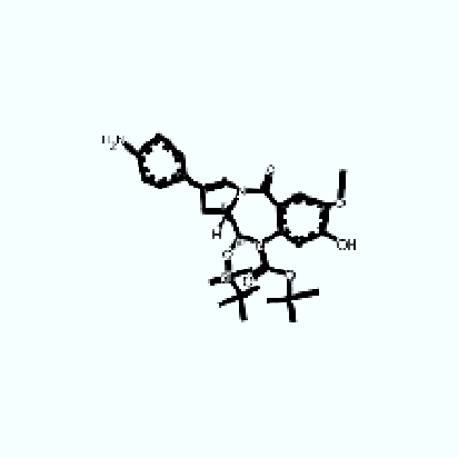 COc1cc2c(cc1O)N(C(=O)OC(C)(C)C)[C@@H](O[Si](C)(C)C(C)(C)C)[C@@H]1CC(c3ccc(N)cc3)=CN1C2=O